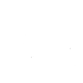 C=CCC(=O)OC(CCC)CC(=O)OC(CCC)CC(=O)OCC